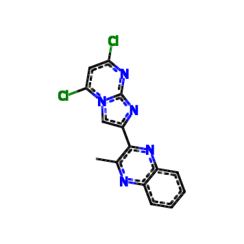 Cc1nc2ccccc2nc1-c1cn2c(Cl)cc(Cl)nc2n1